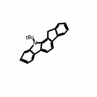 CC(C)(C)n1c2ccccc2c2ccc3c(c21)Cc1ccccc1-3